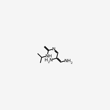 C=C(/N=C\C(N)=C/N)NC(C)C